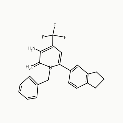 C=C1C(N)=C(C(F)(F)F)C=C(c2ccc3c(c2)CCC3)N1Cc1ccccc1